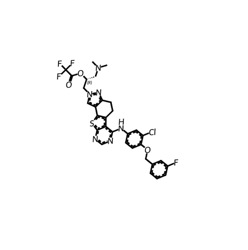 CN(C)C[C@H](Cn1cc2c(n1)CCc1c-2sc2ncnc(Nc3ccc(OCc4cccc(F)c4)c(Cl)c3)c12)OC(=O)C(F)(F)F